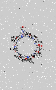 CCCC[C@@H](C)[C@@H](O)[C@H]1C(=O)N[C@@H](CC)C(=O)N(C)[C@H](C)C(=O)N(C)C([C@@H](C)CN2CCOCC2)C(=O)N[C@@H](C(C)C)C(=O)N(C)[C@@H](CC(C)C)C(=O)N[C@@H](C)C(=O)N[C@H](C)C(=O)N(C)[C@@H](CC(C)C)C(=O)N(C)[C@@H](CC(C)C)C(=O)N(C)[C@@H](C(C)C)C(=O)N1C